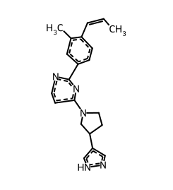 C/C=C\c1ccc(-c2nccc(N3CCC(c4cn[nH]c4)C3)n2)cc1C